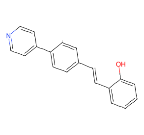 Oc1ccccc1C=Cc1c[c]c(-c2ccncc2)cc1